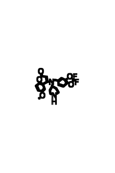 COc1ccc2oc(=O)cc(N(Cc3ccc4c(c3)OC(F)(F)O4)C3CCNCC3)c2c1